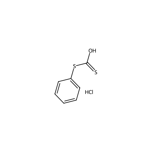 Cl.OC(=S)Sc1ccccc1